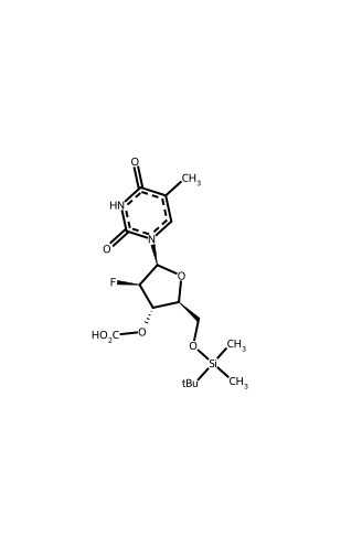 Cc1cn([C@H]2O[C@@H](CO[Si](C)(C)C(C)(C)C)[C@H](OC(=O)O)[C@H]2F)c(=O)[nH]c1=O